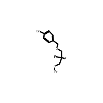 CC(C)OCC(F)(F)COCc1ccc(Br)cc1